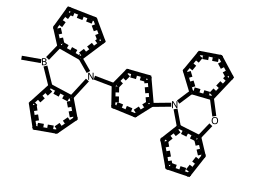 CB1c2ccccc2N(c2ccc(N3c4ccccc4Oc4ccccc43)cc2)c2ccccc21